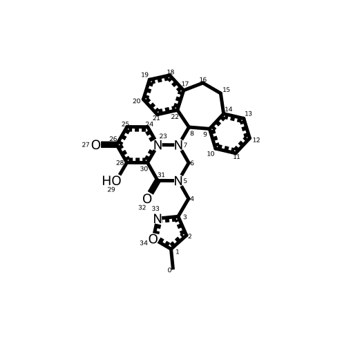 Cc1cc(CN2CN(C3c4ccccc4CCc4ccccc43)n3ccc(=O)c(O)c3C2=O)no1